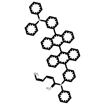 C=C(/C=C\C=C/C)N(c1ccccc1)c1cccc(-c2c3ccccc3c(-c3c4ccccc4c(-c4cccc(N(c5ccccc5)c5ccccc5)c4)c4ccccc34)c3ccccc23)c1